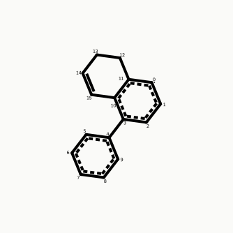 [c]1ccc(-c2ccccc2)c2c1CCC=C2